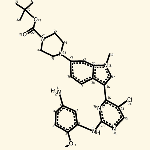 COc1ccc(N)cc1Nc1ncc(Cl)c(-c2cn(C)c3cc(N4CCN(C(=O)OC(C)(C)C)CC4)ccc23)n1